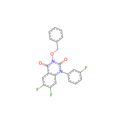 O=c1c2cc(F)c(F)cc2n(-c2cccc(F)c2)c(=O)n1OCc1ccccc1